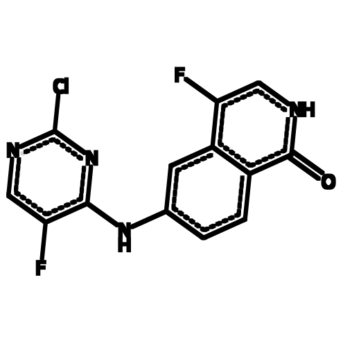 O=c1[nH]cc(F)c2cc(Nc3nc(Cl)ncc3F)ccc12